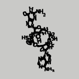 Nc1nc2c(ncn2[C@@H]2O[C@@H]3CO[P@@](=O)(S)O[C@@H]4C(CO[P@@](=O)(S)O[C@@H]2[C@@H]3O)O[C@@H](n2cnc3c(N)ncnc32)[C@@H]4F)c(=O)[nH]1